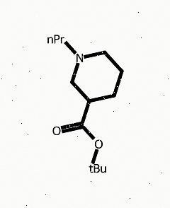 CCCN1CCCC(C(=O)OC(C)(C)C)C1